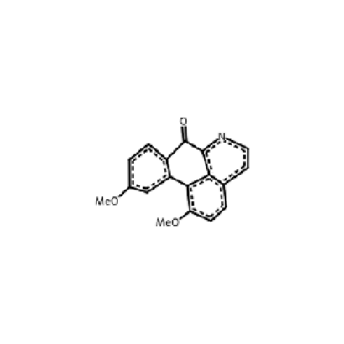 COc1ccc2c(c1)-c1c(OC)ccc3ccnc(c13)C2=O